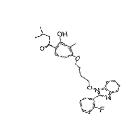 Cc1c(OCCCCOn2c(-c3ccccc3F)nc3ccccc32)ccc(C(=O)CC(C)C)c1O